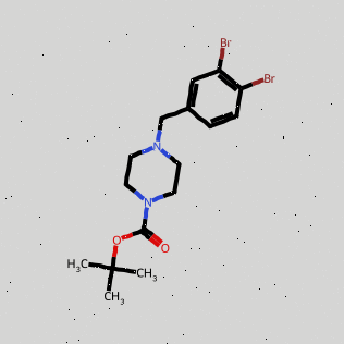 CC(C)(C)OC(=O)N1CCN(Cc2ccc(Br)c(Br)c2)CC1